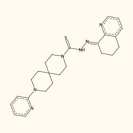 S=C(NN=C1CCCc2cccnc21)N1CCC2(CC1)CCN(c1ccccn1)CC2